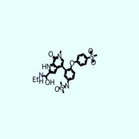 CCNC(O)c1cc2c(-c3cc(N=S(C)(C)=O)ccc3Oc3ccc(S(C)(=O)=O)cc3)cn(C)c(=O)c2[nH]1